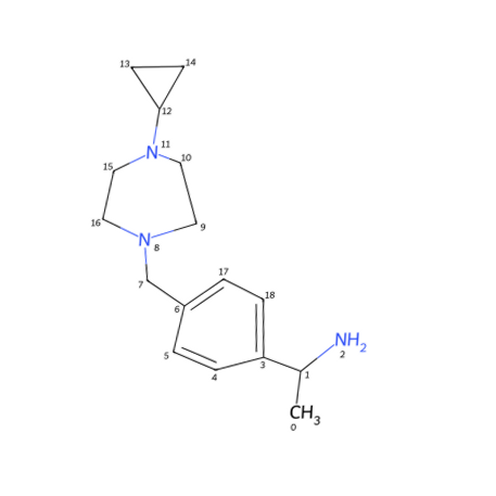 CC(N)c1ccc(CN2CCN(C3CC3)CC2)cc1